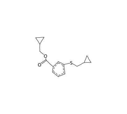 O=C(OCC1CC1)c1cccc(SCC2CC2)c1